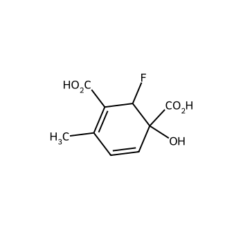 CC1=C(C(=O)O)C(F)C(O)(C(=O)O)C=C1